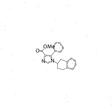 COC(=O)c1ncn(C2CCc3ccccc3C2)c1-c1ccccc1